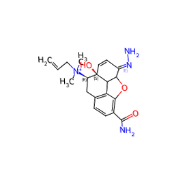 C=CC[N+](C)(C)[C@@H]1Cc2ccc(C(N)=O)c3c2C2C(O3)/C(=N/N)C=C[C@]21O